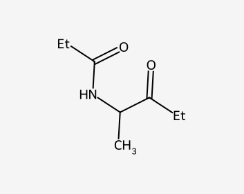 CCC(=O)NC(C)C(=O)CC